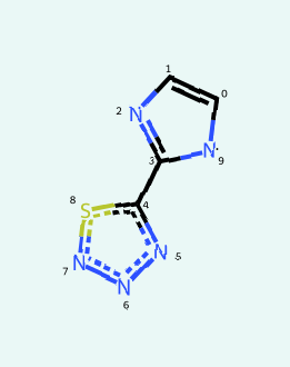 C1=CN=C(c2nnns2)[N]1